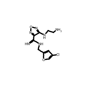 N=C(NCc1cc(Cl)co1)c1nonc1NCCN